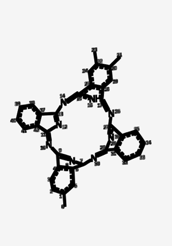 Cc1ccc2c(c1)C1N=C2/N=C2N=C(/N=c3\[nH]/c(c4cc(C)c(C)cc34)=N\C3=NC(=N\1)/c1ccccc13)c1ccccc1\2